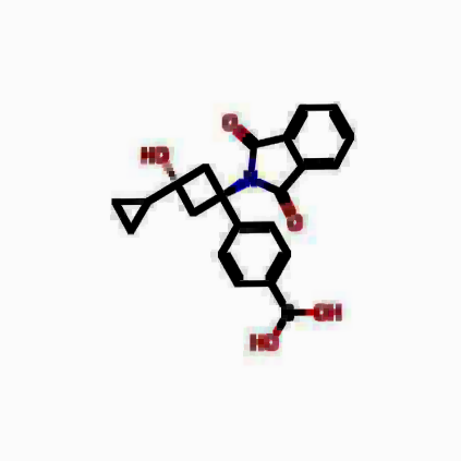 O=C1c2ccccc2C(=O)N1[C@]1(c2ccc(B(O)O)cc2)C[C@](O)(C2CC2)C1